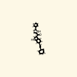 O=C(C1=CSC(c2cccnc2)N1)c1c[nH]c2cc(C#Cc3ccccc3)ccc12